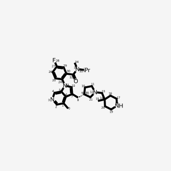 Cc1cncc2c1c(C[C@@H]1CCN(CC3(C)CCNCC3)C1)cn2-c1ccc(F)cc1C(=O)N(C)C(C)C